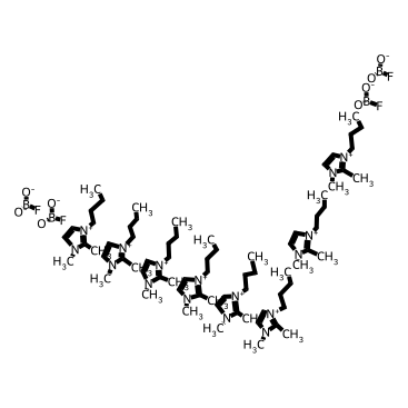 CCCC[n+]1ccn(C)c1C.CCCC[n+]1ccn(C)c1C.CCCC[n+]1ccn(C)c1C.CCCC[n+]1ccn(C)c1C.CCCC[n+]1ccn(C)c1C.CCCC[n+]1ccn(C)c1C.CCCC[n+]1ccn(C)c1C.CCCC[n+]1ccn(C)c1C.[O-]B([O-])F.[O-]B([O-])F.[O-]B([O-])F.[O-]B([O-])F